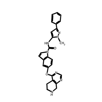 Cn1nc(-c2ccccc2)cc1NC(=O)n1ccc2cc(Oc3ncnc4c3CCNC4)ccc21